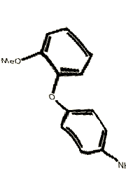 COc1c[c]ccc1Oc1ccc(N)cc1